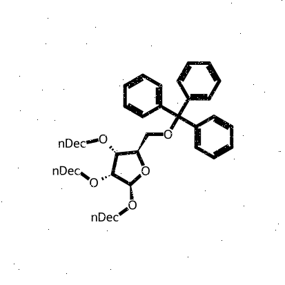 CCCCCCCCCCO[C@@H]1O[C@H](COC(c2ccccc2)(c2ccccc2)c2ccccc2)[C@@H](OCCCCCCCCCC)[C@H]1OCCCCCCCCCC